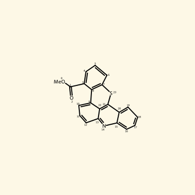 COC(=O)c1cccc2c1-c1cccc3nc4ccccc4c(c13)S2